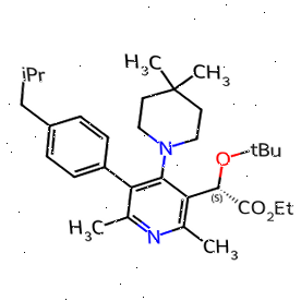 CCOC(=O)[C@@H](OC(C)(C)C)c1c(C)nc(C)c(-c2ccc(CC(C)C)cc2)c1N1CCC(C)(C)CC1